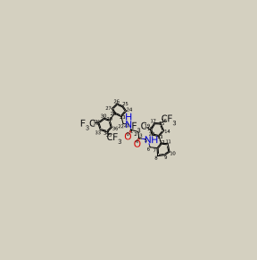 O=C(CC(=O)NCc1ccccc1-c1cc(C(F)(F)F)cc(C(F)(F)F)c1)NCc1ccccc1-c1cc(C(F)(F)F)cc(C(F)(F)F)c1